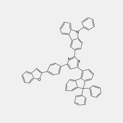 c1ccc(-n2c3ccccc3c3cc(-c4nc(-c5ccc(-c6cc7ccccc7o6)cc5)cc(-c5cccc6c5-c5ccccc5C6(c5ccccc5)c5ccccc5)n4)ccc32)cc1